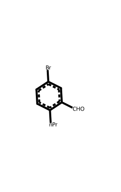 CCCc1ccc(Br)cc1C=O